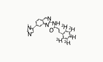 [2H]c1c([2H])c([2H])c(/C=C/C(=O)Nc2ncc3ccc(-c4cncn4C)cc3n2)c([2H])c1[2H]